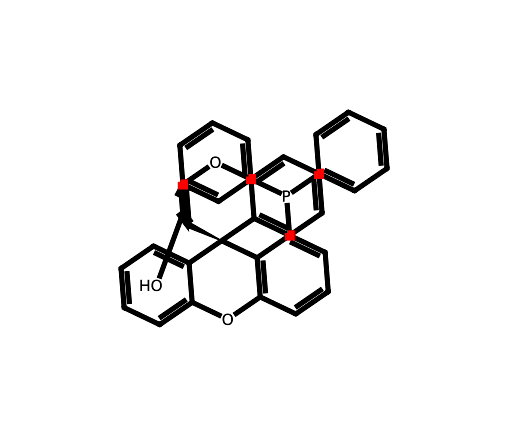 Oc1cccc2c1[C@]1(c3ccccc3O2)c2ccccc2Oc2cccc(P(c3ccccc3)c3ccccc3)c21